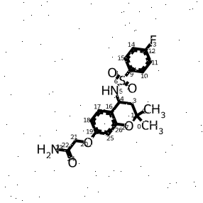 CC1(C)CC(NS(=O)(=O)c2ccc(F)cc2)c2ccc(OCC(N)=O)cc2O1